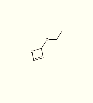 CCOC1C=CO1